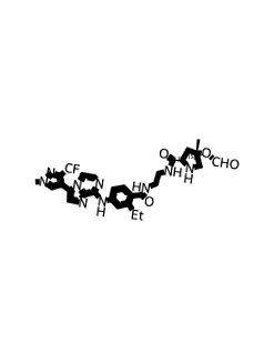 CCc1cc(Nc2nccn3c(-c4cn(C)nc4C(F)(F)F)cnc23)ccc1C(=O)NCCNC(=O)[C@@H]1C[C@](C)(OC=O)CN1